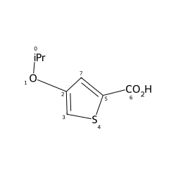 CC(C)Oc1csc(C(=O)O)c1